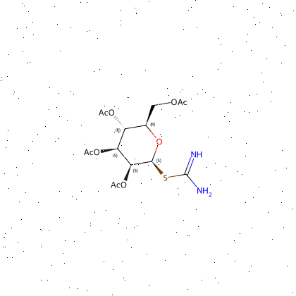 CC(=O)OC[C@H]1O[C@@H](SC(=N)N)[C@@H](OC(C)=O)[C@@H](OC(C)=O)[C@@H]1OC(C)=O